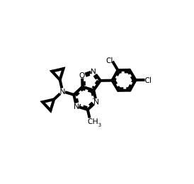 Cc1nc(N(C2CC2)C2CC2)c2onc(-c3ccc(Cl)cc3Cl)c2n1